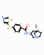 O=C(N[C@@H]1C[C@H]2CCN(C2)C1)c1ccc(Sc2cncs2)cc1